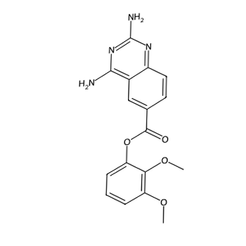 COc1cccc(OC(=O)c2ccc3nc(N)nc(N)c3c2)c1OC